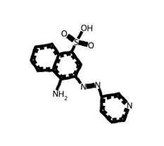 Nc1c(N=Nc2cccnc2)cc(S(=O)(=O)O)c2ccccc12